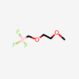 COCCOC[B-](F)(F)F